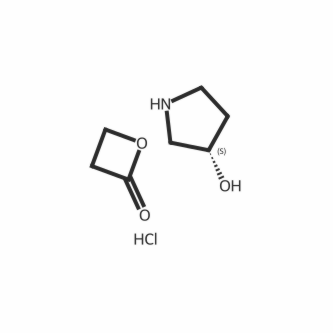 Cl.O=C1CCO1.O[C@H]1CCNC1